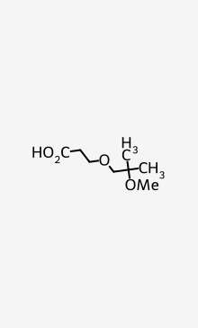 COC(C)(C)COCCC(=O)O